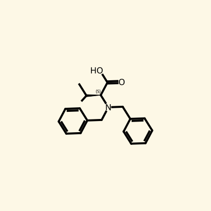 CC(C)[C@@H](C(=O)O)N(Cc1ccccc1)Cc1ccccc1